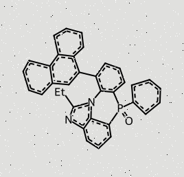 CCc1nc2cccc3c2n1-c1c(-c2cc4ccccc4c4ccccc24)cccc1P3(=O)c1ccccc1